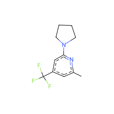 Cc1cc(C(F)(F)F)cc(N2CCCC2)n1